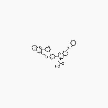 O=C(O)CN(Cc1ccc(OCc2ccccc2)cc1)C(=O)c1ccc(OCCN(Cc2ccccc2)C(=O)c2cccnc2)cc1